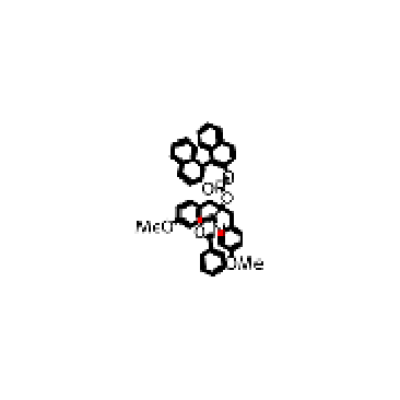 COc1ccc(CC(Cc2ccc(OC)cc2)(Op2oc3ccc4ccccc4c3c3c(ccc4ccccc43)o2)[C@@H]2COC(c3ccccc3)=N2)cc1